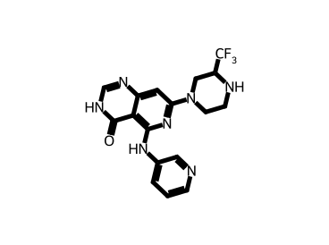 O=c1[nH]cnc2cc(N3CCNC(C(F)(F)F)C3)nc(Nc3cccnc3)c12